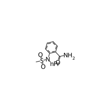 CCCN(c1ccccc1C(N)=O)S(C)(=O)=O